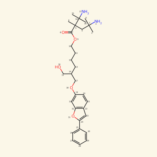 CC(C)(N)CC(C)(C(=O)OCCCCC(CO)COc1ccc2cc(-c3ccccc3)oc2c1)C(C)(C)N